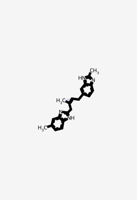 C/C(=C/Cc1ccc2nc(C)[nH]c2c1)Cc1nc2cc(C)ccc2[nH]1